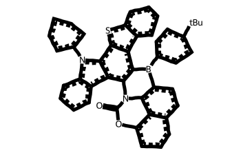 CC(C)(C)c1ccc(B2c3ccc4cccc5c4c3N(C(=O)O5)c3c2c2c4ccccc4sc2c2c3c3ccccc3n2-c2ccccc2)cc1